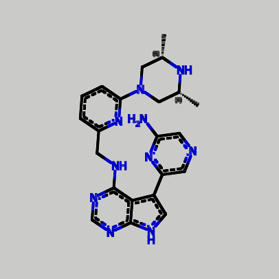 C[C@@H]1CN(c2cccc(CNc3ncnc4[nH]cc(-c5cncc(N)n5)c34)n2)C[C@H](C)N1